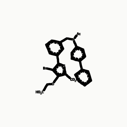 CC(=O)N(Cc1cccc(-c2sc(C(=O)O)c(OCC(=O)O)c2Br)c1)c1ccc(-c2ccccc2)cc1